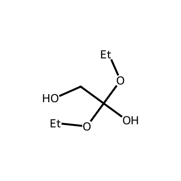 CCOC(O)(CO)OCC